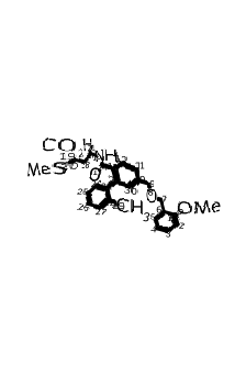 COc1ccccc1COCc1ccc(C(=O)NC(CCSC)C(=O)O)c(-c2ccccc2C)c1